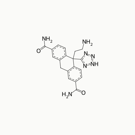 NCCC1(c2nn[nH]n2)c2ccc(C(N)=O)cc2Cc2cc(C(N)=O)ccc21